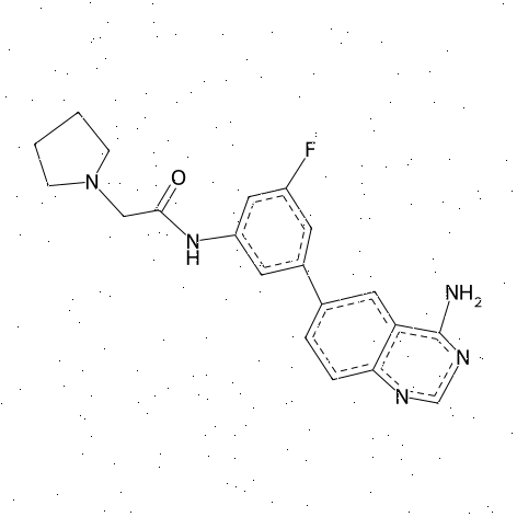 Nc1ncnc2ccc(-c3cc(F)cc(NC(=O)CN4CCCC4)c3)cc12